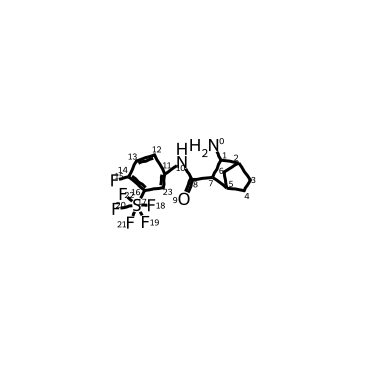 NC1C2CCC(C2)C1C(=O)Nc1ccc(F)c(S(F)(F)(F)(F)F)c1